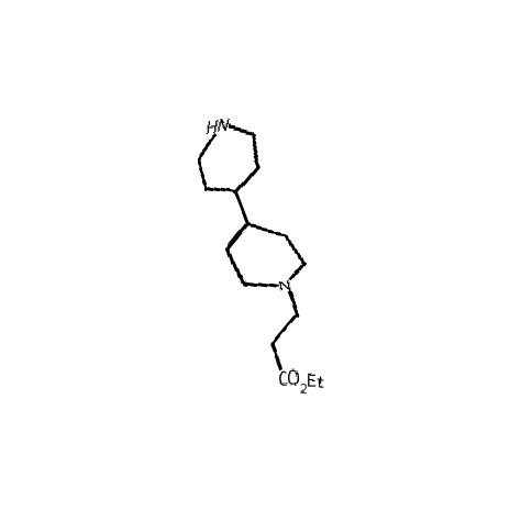 CCOC(=O)CCN1CCC(C2CCNCC2)CC1